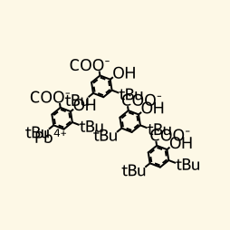 CC(C)(C)c1cc(C(=O)[O-])c(O)c(C(C)(C)C)c1.CC(C)(C)c1cc(C(=O)[O-])c(O)c(C(C)(C)C)c1.CC(C)(C)c1cc(C(=O)[O-])c(O)c(C(C)(C)C)c1.CC(C)(C)c1cc(C(=O)[O-])c(O)c(C(C)(C)C)c1.[Pb+4]